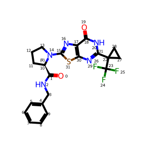 O=C(NCc1ccccc1)[C@H]1CCCN1c1nc2c(=O)[nH]c(C3(C(F)(F)F)CC3)nc2s1